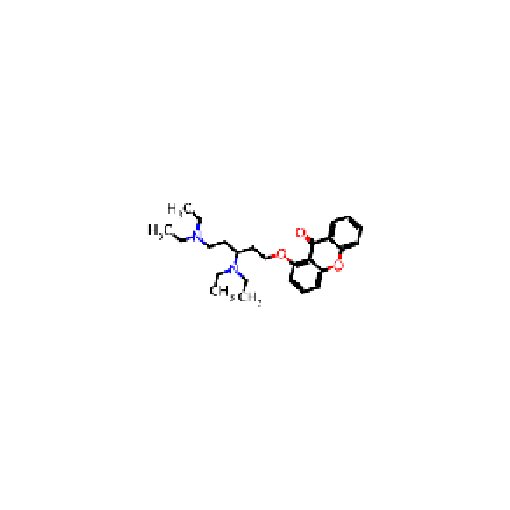 CCN(CC)CCC(CCOc1cccc2oc3ccccc3c(=O)c12)N(CC)CC